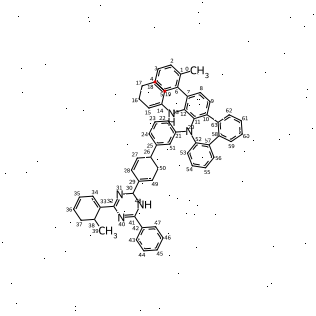 Cc1ccccc1-c1ccc2c(c1NC1=CCCC=C1)N(c1cccc(C3C=CC(C4N=C(C5=CC=CCC5C)N=C(c5ccccc5)N4)=CC3)c1)c1ccccc1-c1ccccc1-2